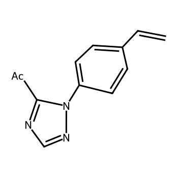 C=Cc1ccc(-n2ncnc2C(C)=O)cc1